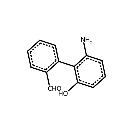 Nc1cccc(O)c1-c1ccccc1C=O